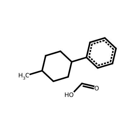 CC1CCC(c2ccccc2)CC1.O=CO